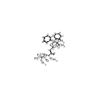 C[C@H](N[S@+]([O-])C(C)(C)C)/C(F)=C/CO[Si](c1ccccc1)(c1ccccc1)C(C)(C)C